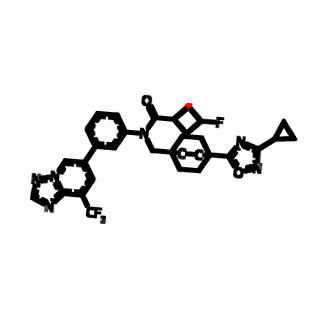 O=C(N(CC12CCC(c3nc(C4CC4)no3)(CC1)CC2)c1cccc(-c2cc(C(F)(F)F)c3ncnn3c2)c1)C12CC(F)(C1)C2